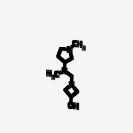 CN1CCC(N(C)CN2CC(O)C2)C1